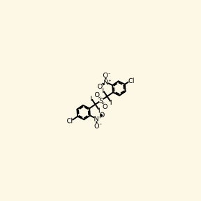 O=[N+]([O-])c1cc(Cl)ccc1C(I)(I)S(=O)(=O)C(I)(I)c1ccc(Cl)cc1[N+](=O)[O-]